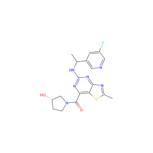 Cc1nc2nc(NC(C)c3cncc(F)c3)nc(C(=O)N3CC[C@H](O)C3)c2s1